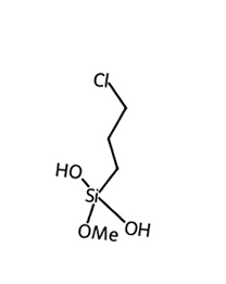 CO[Si](O)(O)CCCCl